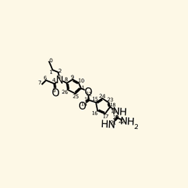 CCCN(C(=O)CC)c1ccc(OC(=O)c2ccc(NC(=N)N)cc2)cc1